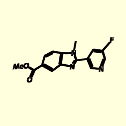 COC(=O)c1ccc2c(c1)nc(-c1cncc(F)c1)n2C